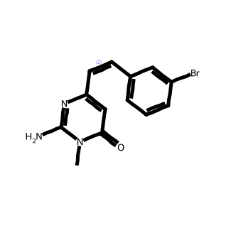 Cn1c(N)nc(/C=C\c2cccc(Br)c2)cc1=O